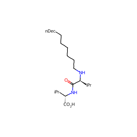 CCCCCCCCCCCCCCCCN[C@H](C(=O)N[C@H](C(=O)O)C(C)C)C(C)C